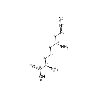 [N-]=[N+]=NCC(N)CCC[C@@H](N)C(=O)O